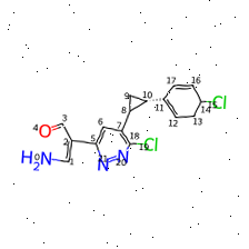 N/C=C(\C=O)c1cc(C2C[C@@H]2C2=CCC(Cl)C=C2)c(Cl)nn1